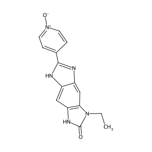 CCn1c(=O)[nH]c2cc3[nH]c(-c4cc[n+]([O-])cc4)nc3cc21